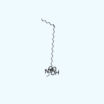 CCCCCC/C=C\CCCCCCCCCCCCCCCCOP(=O)(O)C(CC)[N+](C)(C)C